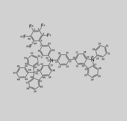 Fc1c(F)c(F)c(-c2ccc(N(c3ccc(-c4ccc5c(c4)c4ccccc4n5-c4ccccc4)cc3)c3ccc4c(c3)C(c3ccccc3)(c3ccccc3)c3ccccc3-4)cc2)c(F)c1F